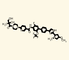 COC1CC(c2nc(-c3ccc(-c4cc(F)c(NC(=O)c5ccc(N6CCN(C(=O)C(C)(C)CO)CC6)nc5)cc4OC(F)(F)F)cc3)c[nH]2)N(C)C1